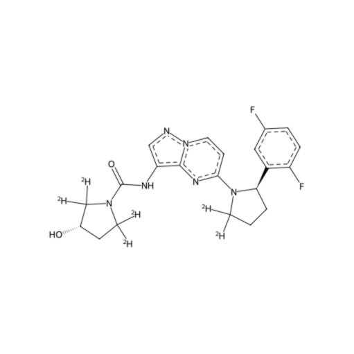 [2H]C1([2H])CC[C@H](c2cc(F)ccc2F)N1c1ccn2ncc(NC(=O)N3C([2H])([2H])C[C@H](O)C3([2H])[2H])c2n1